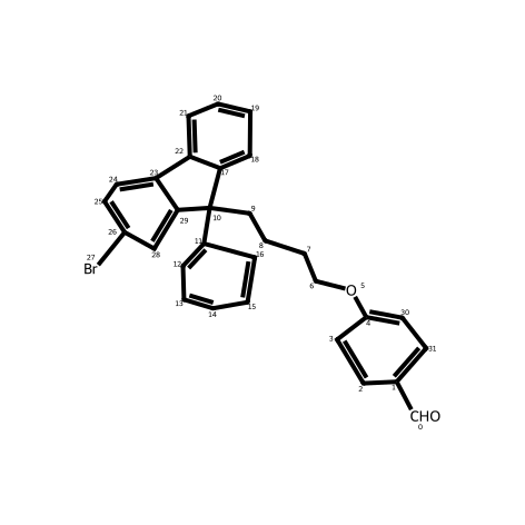 O=Cc1ccc(OCCCCC2(c3ccccc3)c3ccccc3-c3ccc(Br)cc32)cc1